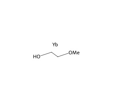 COCCO.[Yb]